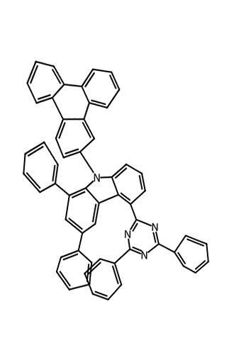 c1ccc(-c2cc(-c3ccccc3)c3c(c2)c2c(-c4nc(-c5ccccc5)nc(-c5ccccc5)n4)cccc2n3-c2ccc3c4ccccc4c4ccccc4c3c2)cc1